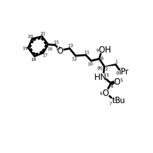 CC(C)C[C@@H](NC(=O)OC(C)(C)C)C(O)CCCCOCc1ccccc1